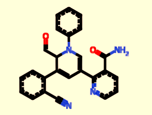 N#Cc1ccccc1C1=CC(c2ncccc2C(N)=O)=CN(c2ccccc2)C1C=O